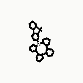 CC1(C)c2ccccc2-c2ccc(-n3c4ccccc4c4ccccc4c4ccccc4c4ccccc43)cc21